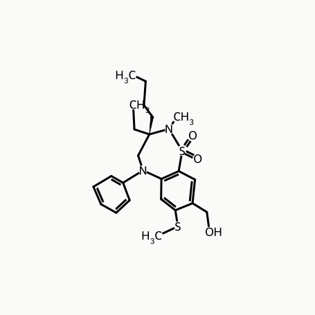 CCCC[C@]1(CC)CN(c2ccccc2)c2cc(SC)c(CO)cc2S(=O)(=O)N1C